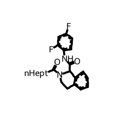 CCCCCCCC(=O)N1CCc2ccccc2C1C(=O)Nc1ccc(F)cc1F